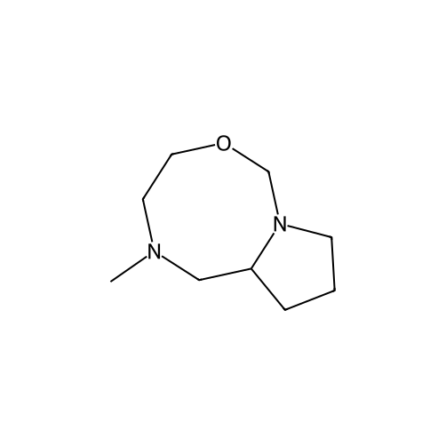 CN1CCOCN2CCCC2C1